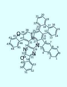 c1ccc2cc3c(cc2c1)c1c2c4ccccc4c4ccccc4c2ccc1n3-c1nc2c(nc1-c1cccc3oc4ccccc4c13)oc1ccccc12